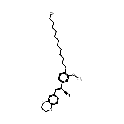 COc1cc(C(C#N)=Cc2ccc3c(c2)OCCO3)ccc1OCCCCCCCCCCCO